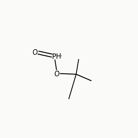 CC(C)(C)O[PH]=O